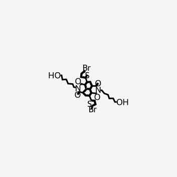 O=C1c2cc(-c3ccc(Br)s3)c3c4c(cc(-c5ccc(Br)s5)c(c24)C(=O)N1CCCCCCO)C(=O)N(CCCCCCO)C3=O